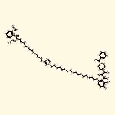 O=C(C(=O)N1CCN(C(=O)c2ccccc2)CC1)c1c[nH]c2c(Br)ccc(OCCOCCOCCOCCOCCOCCn3cc(COCCOCCOCCOCCNc4c([N+](=O)[O-])cccc4[N+](=O)[O-])nn3)c12